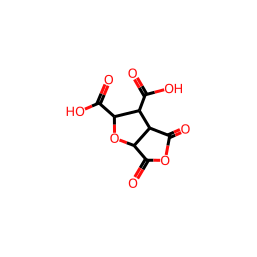 O=C(O)C1OC2C(=O)OC(=O)C2C1C(=O)O